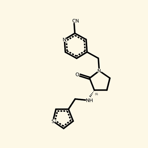 N#Cc1cc(CN2CC[C@H](NCc3ccsc3)C2=O)ccn1